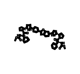 COC(=O)N[C@@H](C(=O)N1CCC[C@H]1c1ncc(-c2ccc(-c3nc4ccc(-c5cnc([C@@H]6CCCN6C(=O)[C@H](NC(=O)OC)c6ccccc6)[nH]5)cc4o3)cc2)[nH]1)c1ccccc1